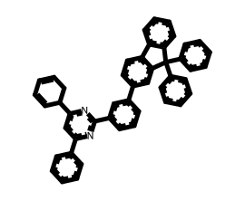 C1=CCC(c2cc(-c3ccccc3)nc(-c3cccc(-c4ccc5c(c4)C(c4ccccc4)(c4ccccc4)c4ccccc4-5)c3)n2)C=C1